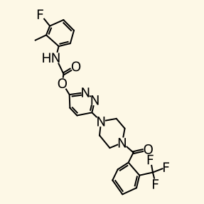 Cc1c(F)cccc1NC(=O)Oc1ccc(N2CCN(C(=O)c3ccccc3C(F)(F)F)CC2)nn1